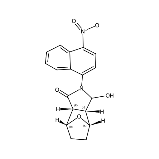 O=C1[C@@H]2[C@H](C(O)N1c1ccc([N+](=O)[O-])c3ccccc13)[C@@H]1CC[C@H]2O1